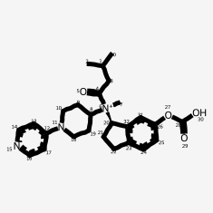 CC(C)CC(=O)[N+](C)(C1CCN(c2ccncc2)CC1)[C@@H]1CCc2ccc(OC(=O)O)cc21